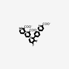 Fc1ccnc(-c2ccccc2)c1F.O=C([O-])c1ccccn1.O=C([O-])c1ccccn1.O=C([O-])c1ccccn1.[Ir+3]